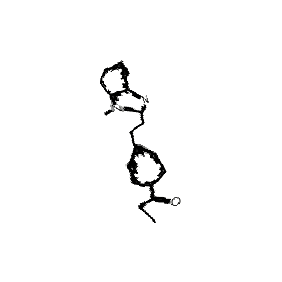 CCC(=O)c1ccc(CCc2nc3ccccc3n2C)cc1